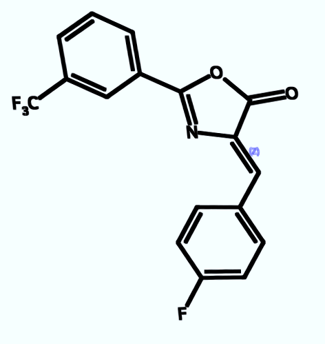 O=C1OC(c2cccc(C(F)(F)F)c2)=N/C1=C\c1ccc(F)cc1